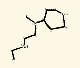 CCNCCN(C)C1CCOCC1